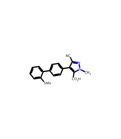 CSc1ccccc1-c1ccc(-c2c(C#N)nn(C)c2C(=O)O)cc1